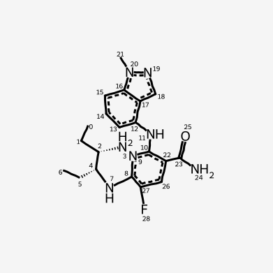 CC[C@H](N)[C@@H](CC)Nc1nc(Nc2cccc3c2cnn3C)c(C(N)=O)cc1F